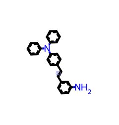 Nc1cccc(/C=C/c2ccc(N(c3ccccc3)c3ccccc3)cc2)c1